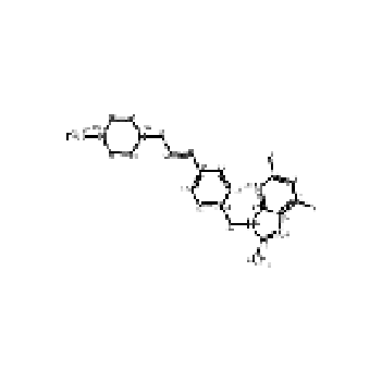 Cc1cc(C)c2nc(C(F)(F)F)n(Cc3ccc(/C=C/CN4CCN(C(C)(C)C)CC4)cc3)c2n1